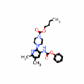 CCCCOC(=O)N1CCN(c2nc(C)c(C)cc2NC(=O)Oc2ccccc2)CC1